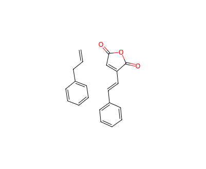 C=CCc1ccccc1.O=C1C=C(C=Cc2ccccc2)C(=O)O1